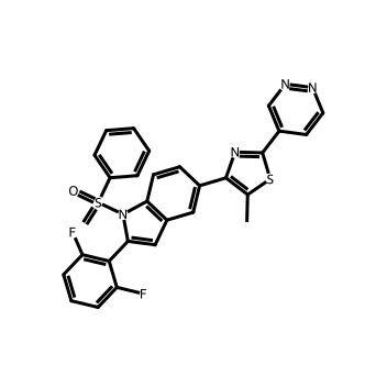 C=S(=O)(c1ccccc1)n1c(-c2c(F)cccc2F)cc2cc(-c3nc(-c4ccnnc4)sc3C)ccc21